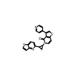 O=c1c2c(-c3ccncc3)csc2ccn1C1CC1c1ccc2sccc2n1